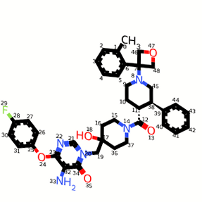 Cc1ccccc1C1(N2CC[C@@H](C(=O)N3CCC(O)(Cn4cnc(Oc5ccc(F)cc5)c(N)c4=O)CC3)[C@H](c3ccccc3)C2)COC1